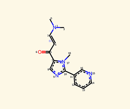 CN(C)/C=C/C(=O)c1cnc(-c2cccnc2)n1C